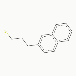 [S]CCCc1ccc2ccccc2c1